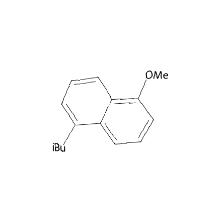 CCC(C)c1cccc2c(OC)cccc12